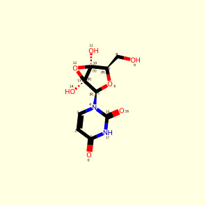 O=c1ccn([C@@H]2O[C@H](CO)[C@]3(O)O[C@]23O)c(=O)[nH]1